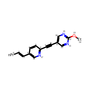 CCCC=Cc1ccc(C#Cc2cnc(OCC)nc2)nc1